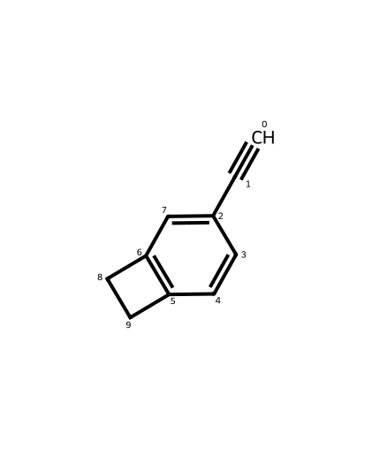 C#Cc1ccc2c(c1)CC2